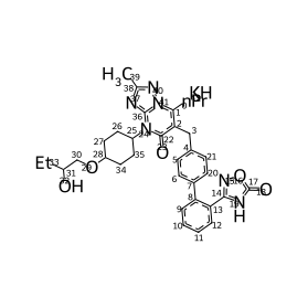 CCCc1c(Cc2ccc(-c3ccccc3-c3noc(=O)[nH]3)cc2)c(=O)n(C2CCC(OCC(O)CC)CC2)c2nc(C)nn12.[KH]